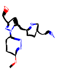 COc1ccc(-n2nc(C=O)cc2-c2ccc(C#N)cn2)nn1